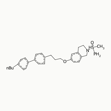 CCCCc1ccc(-c2ccc(CCCOc3ccc4c(c3)CCN([SH](C)(=O)P)C4)cc2)cc1